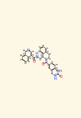 O=C1NCc2cc(C(=O)N3CCc4ccccc4C3CNC(=O)c3cncc4ccccc34)ccc2N1